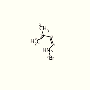 C=C(C)/C=C\NBr